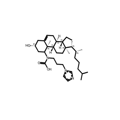 CC(C)CCC[C@@H](C)[C@H]1CC[C@H]2[C@@H]3CC=C4C[C@@H](O)CC(N(CCCn5ccnc5)C(=O)O)[C@]4(C)[C@H]3CC[C@]12C